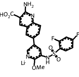 COc1ncc(-c2ccc3nc(N)c(C(=O)O)cc3c2)cc1NS(=O)(=O)c1ccc(F)cc1F.[Li]